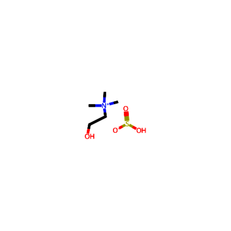 C[N+](C)(C)CCO.O=S([O-])O